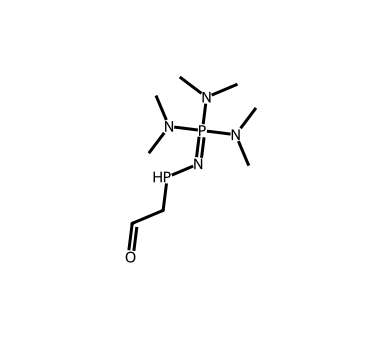 CN(C)P(=NPCC=O)(N(C)C)N(C)C